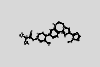 CC(C)n1ncnc1C1CN2CCOc3cc(C4CCN(CC(=O)N(C)C)CC4O)ccc3C2=N1